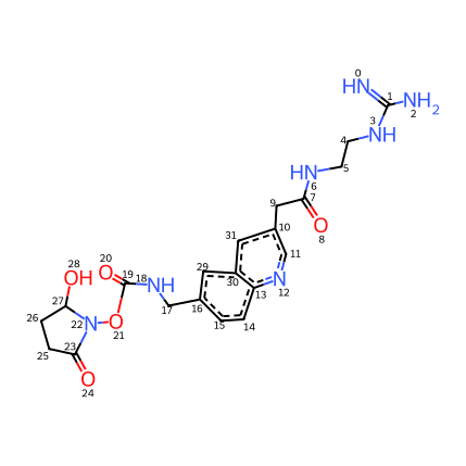 N=C(N)NCCNC(=O)Cc1cnc2ccc(CNC(=O)ON3C(=O)CCC3O)cc2c1